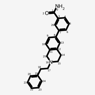 NC(=O)c1cccc(-c2ccc3c(c2)CCN(CCc2ccccc2)C3)c1